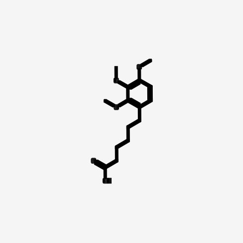 COc1ccc(CCCCCC(=O)O)c(OC)c1OC